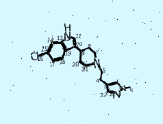 Cn1cc(CCN2CCC(c3c[nH]c4cc(Cl)ccc34)CC2)cn1